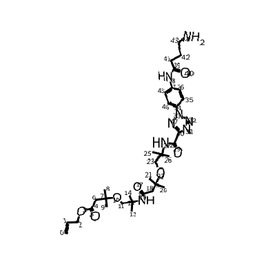 C=CCOC(=O)CC(C)(C)OCC(C)(C)NC(=O)CC(C)(C)OCC(C)(C)NC(=O)c1nnn(-c2ccc(NC(=O)CCCN)cc2)n1